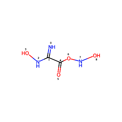 N=C(NO)C(=O)ONO